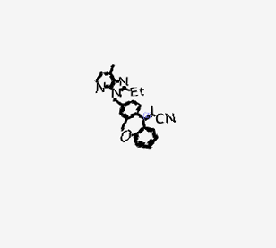 CCc1nc2c(C)ccnc2n1Cc1ccc2c(c1)COc1ccccc1/C2=C(/C)C#N